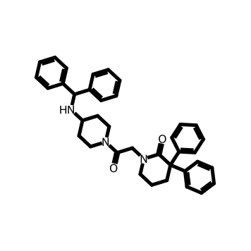 O=C(CN1CCCC(c2ccccc2)(c2ccccc2)C1=O)N1CCC(NC(c2ccccc2)c2ccccc2)CC1